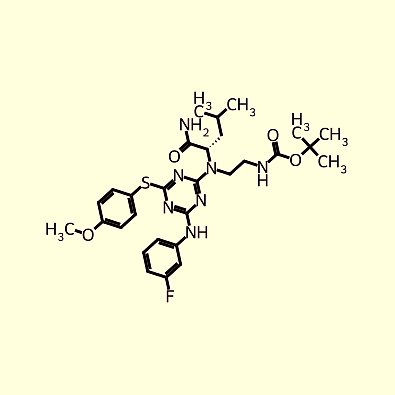 COc1ccc(Sc2nc(Nc3cccc(F)c3)nc(N(CCNC(=O)OC(C)(C)C)[C@@H](CC(C)C)C(N)=O)n2)cc1